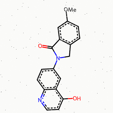 COc1ccc2c(c1)C(=O)N(c1ccc3nccc(O)c3c1)C2